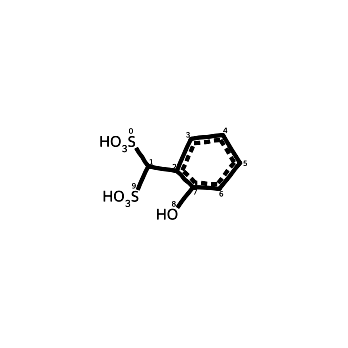 O=S(=O)(O)C(c1ccccc1O)S(=O)(=O)O